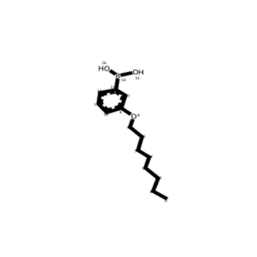 CCCCCCCCOc1cccc(B(O)O)c1